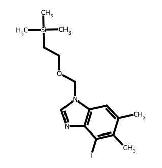 Cc1cc2c(ncn2COCC[Si](C)(C)C)c(I)c1C